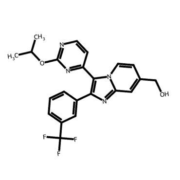 CC(C)Oc1nccc(-c2c(-c3cccc(C(F)(F)F)c3)nc3cc(CO)ccn23)n1